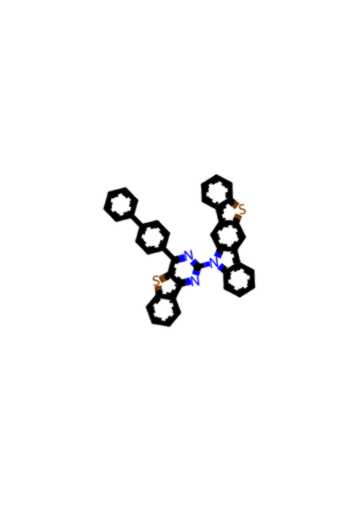 c1ccc(-c2ccc(-c3nc(-n4c5ccccc5c5cc6sc7ccccc7c6cc54)nc4c3sc3ccccc34)cc2)cc1